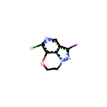 Clc1ncc2c(I)nn3c2c1OCC3